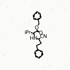 CC(C)[C@H](NC(C#N)CCc1ccccc1)C(=O)OCc1ccccc1